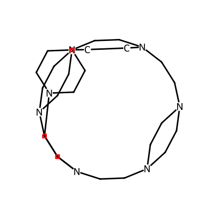 C1CN2CCN1CCN1CCN3CCN(CC3)CCN(CC2)CCN2CCN(CC2)CC1